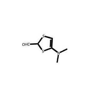 CN(C)C1=CSC(C=O)S1